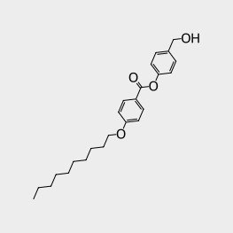 CCCCCCCCCCOc1ccc(C(=O)Oc2ccc(CO)cc2)cc1